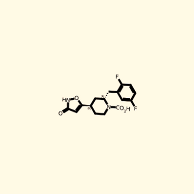 O=C(O)N1CC[C@@H](c2cc(=O)[nH]o2)C[C@@H]1Cc1cc(F)ccc1F